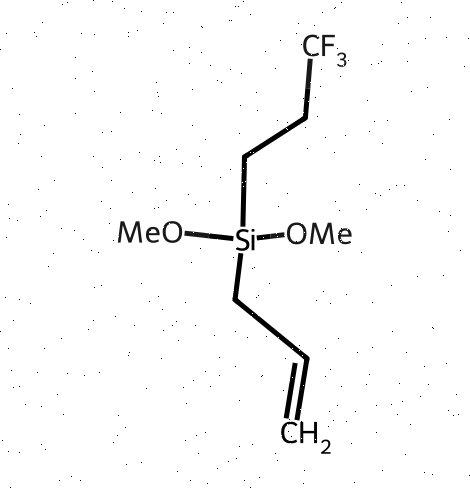 C=CC[Si](CCC(F)(F)F)(OC)OC